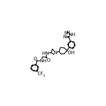 O=C(CNC(=O)c1cccc(C(F)(F)F)c1)NC1CN(C2CCC(O)(c3cccc(-c4nnn[nH]4)c3)CC2)C1